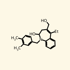 CCC1=C(CO)CC(O)N(Cc2ccc(C)c(C)c2)c2ccccc21